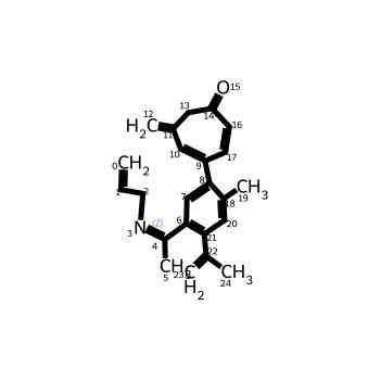 C=CC/N=C(/C)c1cc(C2=CC(=C)CC(=O)C=C2)c(C)cc1C(=C)C